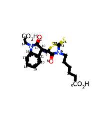 O=C(O)CCCCCN1C(=O)/C(=C2/C(=O)N(CC(=O)O)c3ccccc32)SC1=S